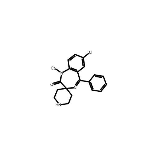 CCN1C(=O)C2(CCNCC2)N=C(c2ccccc2)c2cc(Cl)ccc21